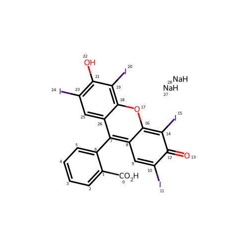 O=C(O)c1ccccc1-c1c2cc(I)c(=O)c(I)c-2oc2c(I)c(O)c(I)cc12.[NaH].[NaH]